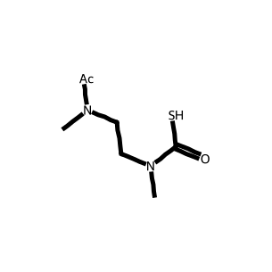 CC(=O)N(C)CCN(C)C(=O)S